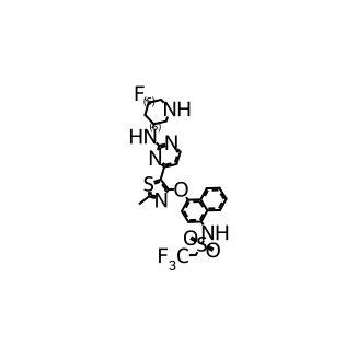 Cc1nc(Oc2ccc(NS(=O)(=O)CC(F)(F)F)c3ccccc23)c(-c2ccnc(N[C@@H]3CNC[C@@H](F)C3)n2)s1